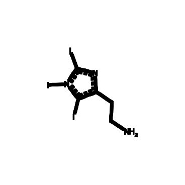 NCCc1nc(I)n(I)c1I